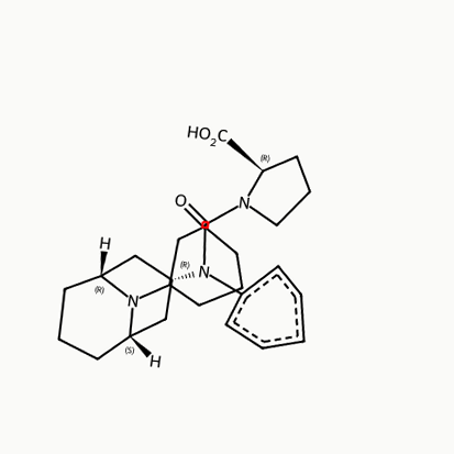 O=C(O)[C@H]1CCCN1C(=O)N(c1ccccc1)[C@H]1C[C@H]2CCC[C@@H](C1)N2C1CCCCC1